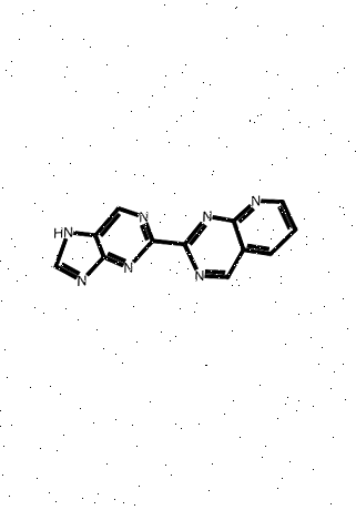 [c]1nc2nc(-c3ncc4cccnc4n3)ncc2[nH]1